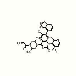 C=CC(=O)N1CC(C)N(c2nc(=O)n(-c3c(C)ccnc3C(C)C)c3nc(-c4cccc5cn[nH]c45)c(Cl)cc23)CC1C